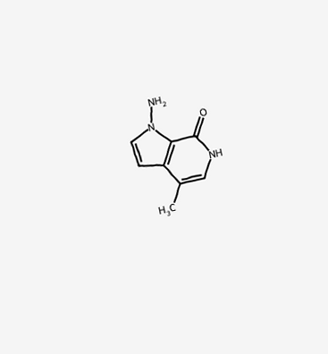 Cc1c[nH]c(=O)c2c1ccn2N